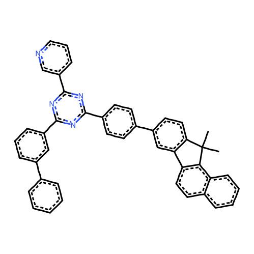 CC1(C)c2ccc(-c3ccc(-c4nc(-c5cccnc5)nc(-c5cccc(-c6ccccc6)c5)n4)cc3)cc2-c2ccc3ccccc3c21